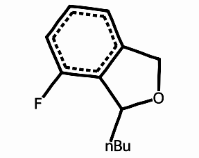 CCCCC1OCc2cccc(F)c21